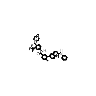 Cc1ccc(C(=O)Nc2ccc(CN3CCN(C)CC3)c(C(F)(F)F)c2)cc1-c1ccc2nc(Nc3ccccc3)ccc2c1